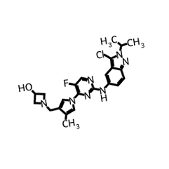 Cc1cn(-c2nc(Nc3ccc4nn(C(C)C)c(Cl)c4c3)ncc2F)cc1CN1CC(O)C1